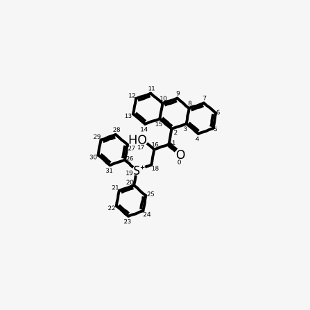 O=C(c1c2ccccc2cc2ccccc12)C(O)C[S+](c1ccccc1)c1ccccc1